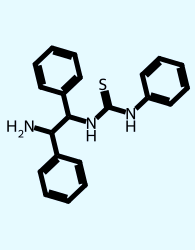 NC(c1ccccc1)C(NC(=S)Nc1ccccc1)c1ccccc1